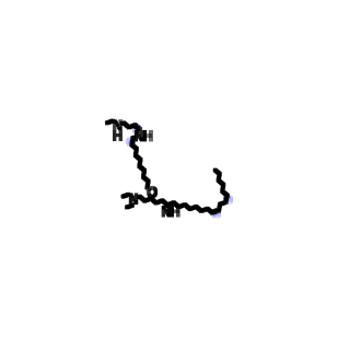 CCCCC/C=C\C/C=C\CCCCCCCC(=N)CCC(CCN(CC)CC)OCCCCCCCC/C=C\N/C=C\CCNCC